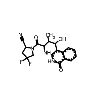 CC(C(N)C(=O)N1CC(F)(F)CC1C#N)C(O)c1c[nH]c(=O)c2ccccc12